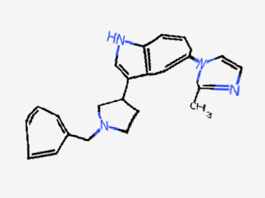 Cc1nccn1-c1ccc2[nH]cc(C3CCN(Cc4ccccc4)C3)c2c1